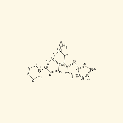 CN1Cc2cc(N3CCCCC3)ccc2C(c2ccc3cnncc3c2)C1